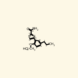 CCCc1ccc(OC)c(-c2csc(C(N)=O)n2)c1.Cl